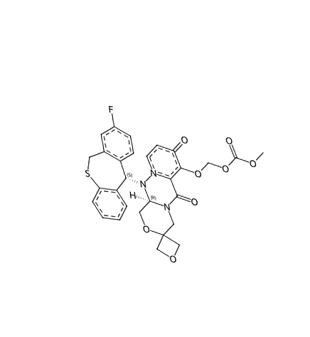 COC(=O)OCOc1c2n(ccc1=O)N([C@H]1c3ccc(F)cc3CSc3ccccc31)[C@@H]1COC3(COC3)CN1C2=O